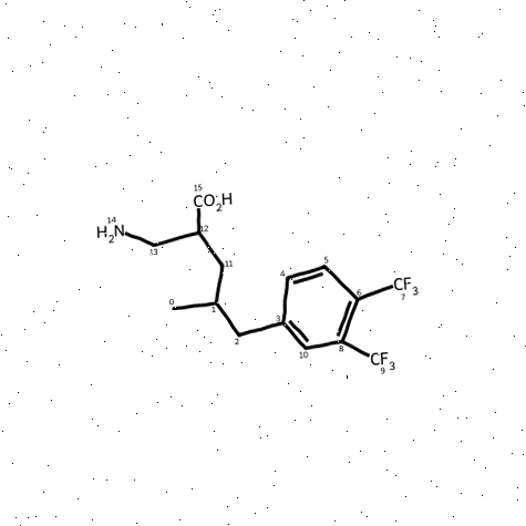 CC(Cc1ccc(C(F)(F)F)c(C(F)(F)F)c1)CC(CN)C(=O)O